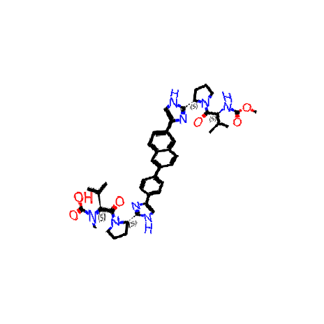 COC(=O)N[C@H](C(=O)N1CCC[C@H]1c1nc(-c2ccc3cc(-c4ccc(-c5c[nH]c([C@@H]6CCCN6C(=O)[C@H](C(C)C)N(C)C(=O)O)n5)cc4)ccc3c2)c[nH]1)C(C)C